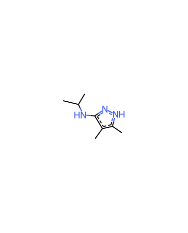 Cc1[nH]nc(NC(C)C)c1C